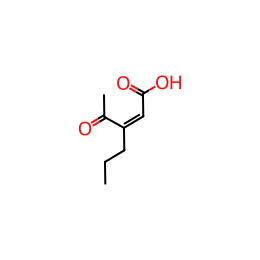 CCCC(=CC(=O)O)C(C)=O